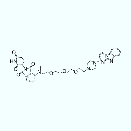 O=C1CCC(N2C(=O)c3cccc(NCCOCCOCCOCCN4CCN(c5ccn6c(n5)nc5ccccc56)CC4)c3C2=O)C(=O)N1